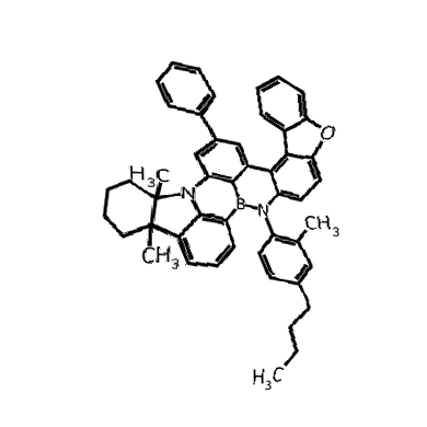 CCCCc1ccc(N2B3c4cccc5c4N(c4cc(-c6ccccc6)cc(c43)-c3c2ccc2oc4ccccc4c32)C2(C)CCCCC52C)c(C)c1